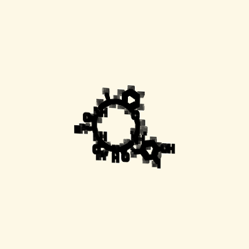 CCC[C@@H]1NC(=O)[C@@H](C(C)C)NC(=O)[C@@H](Cc2ccc(O)c(I)c2)N[C@@H](C)COc2ccccc2C[C@H](C)CNC1=O